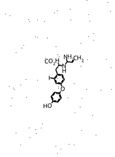 C=CC(N)NC(Cc1ccc(Oc2ccc(O)cc2)cc1I)C(=O)O